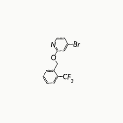 FC(F)(F)c1ccccc1COc1cc(Br)ccn1